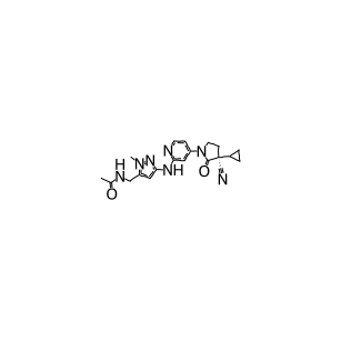 CC(=O)NCc1cc(Nc2cc(N3CC[C@@](C#N)(C4CC4)C3=O)ccn2)nn1C